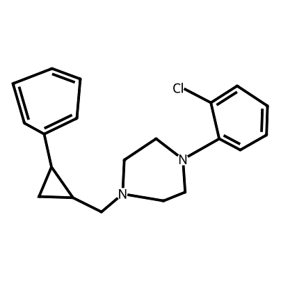 Clc1ccccc1N1CCN(CC2CC2c2ccccc2)CC1